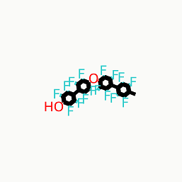 Cc1c(F)c(F)c(-c2c(F)c(F)c(Oc3c(F)c(F)c(-c4c(F)c(F)c(O)c(F)c4F)c(F)c3F)c(F)c2F)c(F)c1F